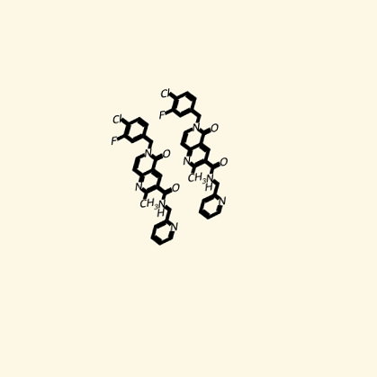 Cc1nc2ccn(Cc3ccc(Cl)c(F)c3)c(=O)c2cc1C(=O)NCc1ccccn1.Cc1nc2ccn(Cc3ccc(Cl)c(F)c3)c(=O)c2cc1C(=O)NCc1ccccn1